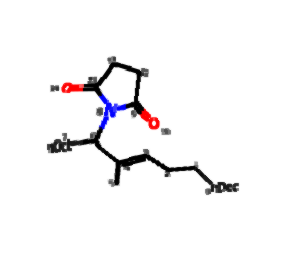 CCCCCCCCCCCCC=C(C)C(CCCCCCCC)N1C(=O)CCC1=O